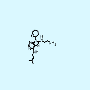 CC(C)=CCNc1ncnc2c1nc(NCCN)n2C1CCCCO1